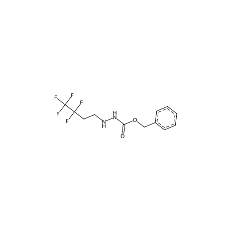 O=C(NNCCC(F)(F)C(F)(F)F)OCc1ccccc1